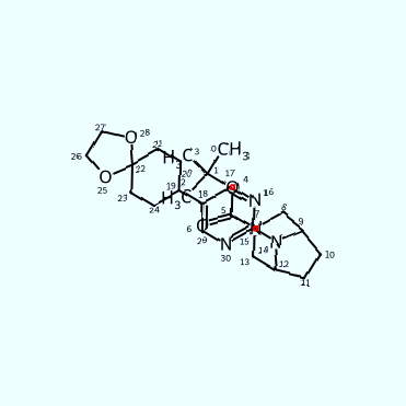 CC(C)(C)OC(=O)N1CC2CCC(C1)N2c1ncc(C2CCC3(CC2)OCCO3)cn1